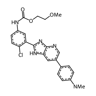 CNc1ccc(-c2cnc3nc(-c4cc(NC(=O)OCCOC)ccc4Cl)[nH]c3c2)cc1